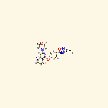 Cc1noc([C@H]2CC[C@@H](Oc3nc(N4CCOCC4)cc4ncccc34)CC2)n1